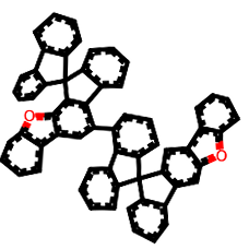 c1ccc2c(c1)-c1cc3oc4ccccc4c3cc1C21c2ccccc2-c2c(-c3cc4c(oc5ccccc54)c4c3-c3ccccc3C43c4ccccc4-c4ccccc43)cccc21